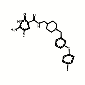 Nc1[nH]c(=O)c(C(=O)NCC2CCN(Cc3cccc(Oc4ccc(F)cc4)c3)CC2)cc1Cl